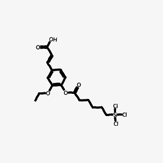 CCOc1cc(C=CC(=O)O)ccc1OC(=O)CCCCC[Si](Cl)(Cl)Cl